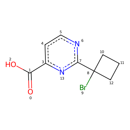 O=C(O)c1ccnc(C2(Br)CCC2)n1